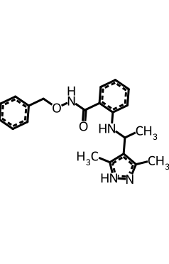 Cc1n[nH]c(C)c1C(C)Nc1ccccc1C(=O)NOCc1ccccc1